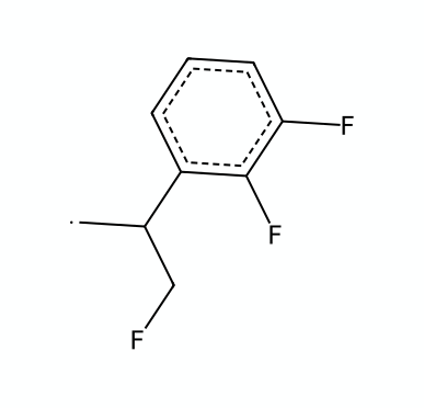 [CH2]C(CF)c1cccc(F)c1F